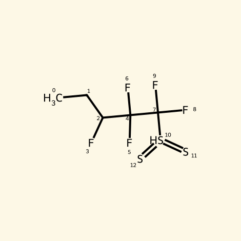 CCC(F)C(F)(F)C(F)(F)[SH](=S)=S